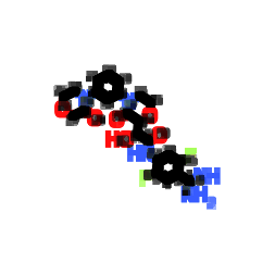 N=C(N)c1cc(F)c(NC(=O)[C@H](O)[C@H]2OCCN(c3cccc(N4CCOCC4=O)c3)C2=O)cc1F